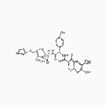 O=C(O)C1=C(CSc2nncs2)CS[C@H]2[C@H](NC(=O)C(NC(=O)c3coc4cc(O)c(O)cc4c3=O)c3ccc(O)cc3)C(=O)N12